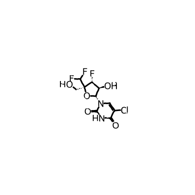 O=c1[nH]c(=O)n([C@@H]2O[C@@](CO)(C(F)F)[C@H](F)[C@H]2O)cc1Cl